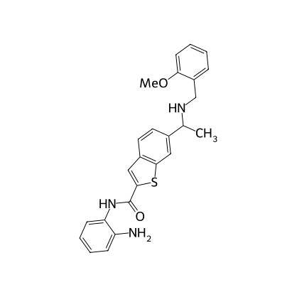 COc1ccccc1CNC(C)c1ccc2cc(C(=O)Nc3ccccc3N)sc2c1